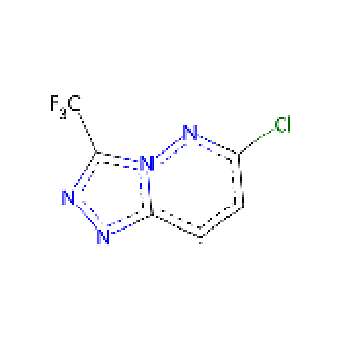 FC(F)(F)c1nnc2[c]cc(Cl)nn12